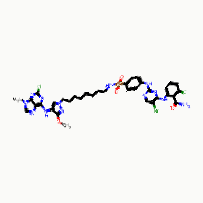 COc1nn(CCCCCCCCNS(=O)(=O)c2ccc(Nc3ncc(Br)c(Nc4cccc(F)c4C(N)=O)n3)cc2)cc1Nc1nc(Cl)nc2c1ncn2C